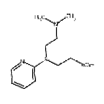 CCCCCCCCCCN(CCN(C)C)c1ccccn1